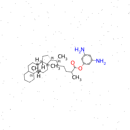 CC(CCC[C@@H](C)[C@H]1CC[C@H]2[C@@H]3CCC4CCCC[C@]4(C)[C@H]3CC[C@]12C)C(=O)Oc1cc(N)cc(N)c1